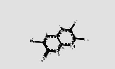 CC(C)c1cc2nc(F)c(F)[nH]c-2nc1=S